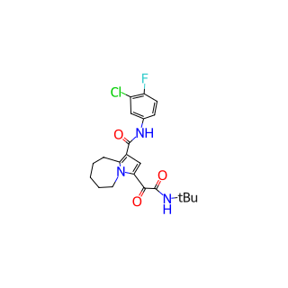 CC(C)(C)NC(=O)C(=O)c1cc(C(=O)Nc2ccc(F)c(Cl)c2)c2n1CCCCC2